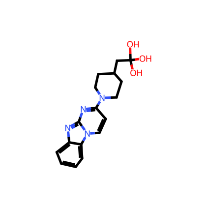 OC(O)(O)CC1CCN(c2ccn3c(n2)nc2ccccc23)CC1